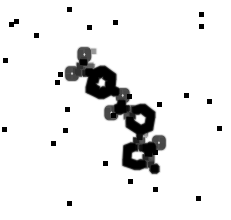 CN1CCCN([C@@H]2CCCN(C(=O)Oc3ccc([N+](=O)[O-])cc3)C2)C1=O